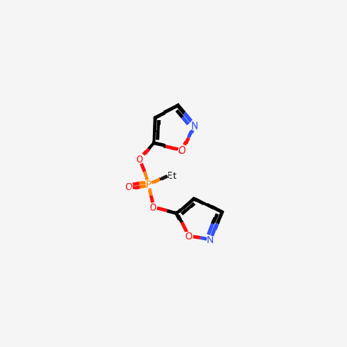 CCP(=O)(Oc1ccno1)Oc1ccno1